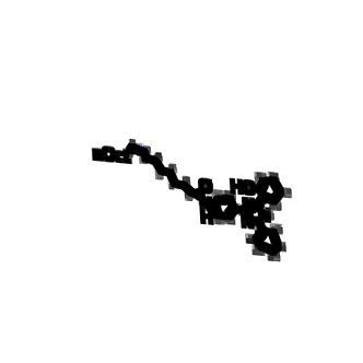 CCCCCCCC/C=C\CCCCCCCC(=O)Nc1ccc(-c2nc(-c3ccccc3)nc(-c3ccccc3O)n2)cc1